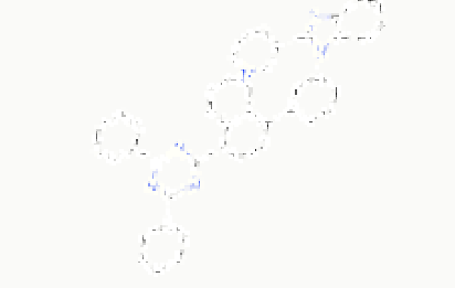 c1ccc(-c2nc(-c3ccccc3)nc(-c3ccc(-c4cccc(-n5c(-c6cccnc6)nc6ccccc65)c4)c4ccccc34)n2)cc1